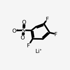 O=S(=O)([O-])c1cc(F)c(F)cc1F.[Li+]